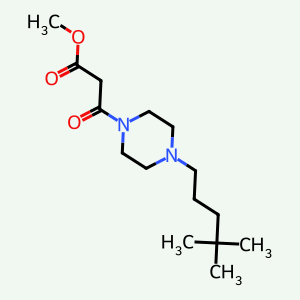 COC(=O)CC(=O)N1CCN(CCCC(C)(C)C)CC1